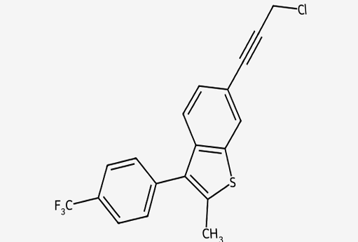 Cc1sc2cc(C#CCCl)ccc2c1-c1ccc(C(F)(F)F)cc1